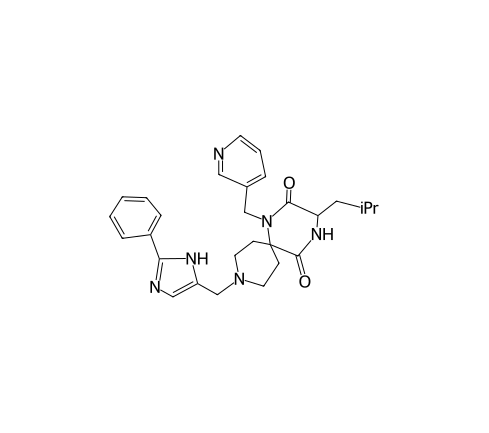 CC(C)CC1NC(=O)C2(CCN(Cc3cnc(-c4ccccc4)[nH]3)CC2)N(Cc2cccnc2)C1=O